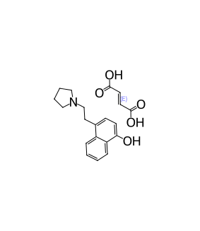 O=C(O)/C=C/C(=O)O.Oc1ccc(CCN2CCCC2)c2ccccc12